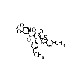 CCc1ccc([C@H]2C(C(=O)c3ccc4c(c3)OCCO4)=C(O)C(=O)N2c2nc3ccc(C)cc3s2)cc1